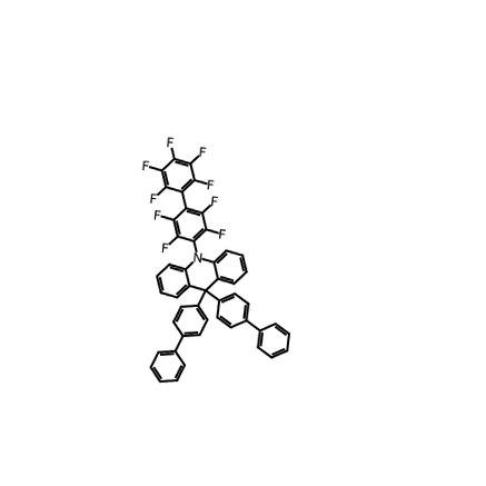 Fc1c(F)c(F)c(-c2c(F)c(F)c(N3c4ccccc4C(c4ccc(-c5ccccc5)cc4)(c4ccc(-c5ccccc5)cc4)c4ccccc43)c(F)c2F)c(F)c1F